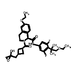 CCOCC(C)(C)c1c(F)cc(NC(=O)C2c3ccc(OCC)cc3CCN2C(=O)C2CC(CC3(O)CO3)C2)cc1F